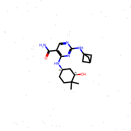 CC1(C)CC[C@@H](Nc2nc(NC34CC(C3)C4)ncc2C(N)=O)C[C@H]1O